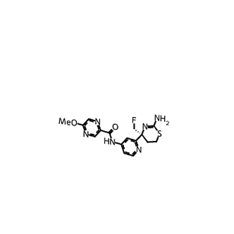 COc1cnc(C(=O)Nc2ccnc([C@]3(CF)CCSC(N)=N3)c2)cn1